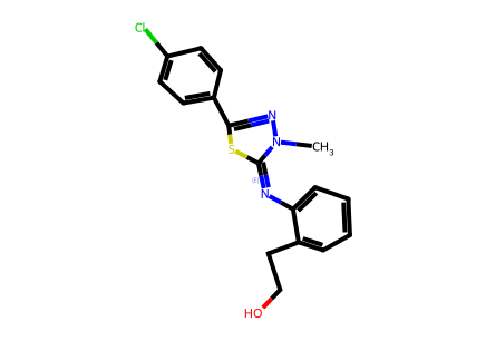 Cn1nc(-c2ccc(Cl)cc2)s/c1=N/c1ccccc1CCO